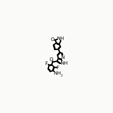 Nc1ccc(F)c(C(=O)c2c[nH]c3ncc(-c4ccc5c(c4)CNC5=O)cc23)c1F